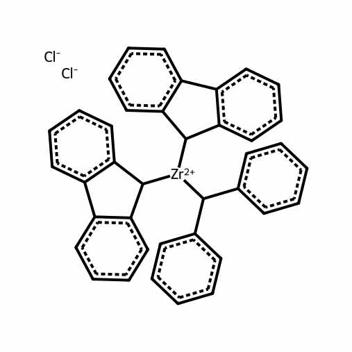 [Cl-].[Cl-].c1ccc([CH](c2ccccc2)[Zr+2]([CH]2c3ccccc3-c3ccccc32)[CH]2c3ccccc3-c3ccccc32)cc1